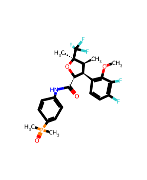 COc1c([C@H]2[C@H](C(=O)Nc3ccc(P(C)(C)=O)cc3)O[C@@](C)(C(F)(F)F)[C@H]2C)ccc(F)c1F